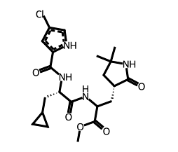 COC(=O)C(C[C@@H]1CC(C)(C)NC1=O)NC(=O)[C@H](CC1CC1)NC(=O)c1cc(Cl)c[nH]1